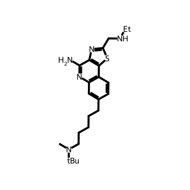 CCNCc1nc2c(N)nc3cc(CCCCCN(C)C(C)(C)C)ccc3c2s1